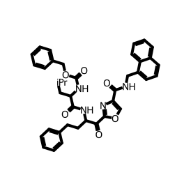 CC(C)CC(NC(=O)OCc1ccccc1)C(=O)NC(CCc1ccccc1)C(=O)c1nc(C(=O)NCc2cccc3ccccc23)co1